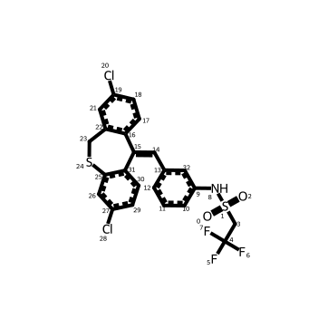 O=S(=O)(CC(F)(F)F)Nc1cccc(C=C2c3ccc(Cl)cc3CSc3cc(Cl)ccc32)c1